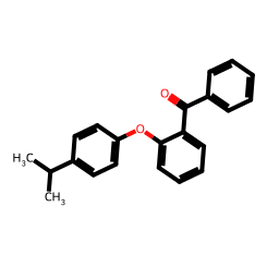 CC(C)c1ccc(Oc2ccccc2C(=O)c2ccccc2)cc1